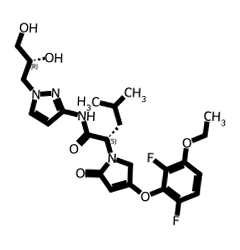 CCOc1ccc(F)c(OC2=CC(=O)N([C@@H](CC(C)C)C(=O)Nc3ccn(C[C@@H](O)CO)n3)C2)c1F